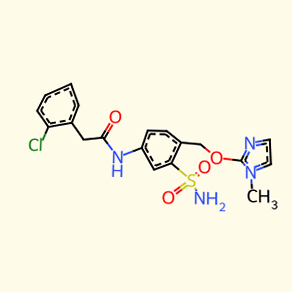 Cn1ccnc1OCc1ccc(NC(=O)Cc2ccccc2Cl)cc1S(N)(=O)=O